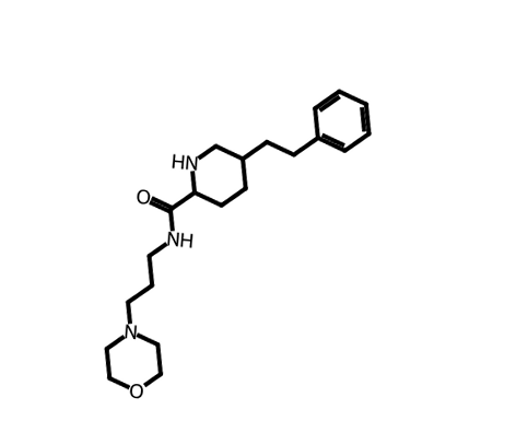 O=C(NCCCN1CCOCC1)C1CCC(CCc2ccccc2)CN1